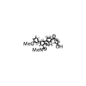 CNC(=O)c1cc(-c2cccc(OC)c2)cc2c1[nH]c1cc(C(=O)N3CCC(O)C3)ccc12